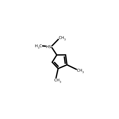 CC1=CC([SiH](C)C)C=C1C